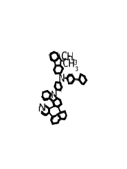 CC1(C)c2ccccc2-c2ccc(N(c3ccc(-c4ccccc4)cc3)c3ccc(-n4c5ccccc5c5c6c(ccc54)-c4cccc5cccc(c45)-c4ccncc4-6)cc3)cc21